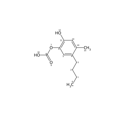 CCCCc1cc(OC(=O)O)c(O)cc1C